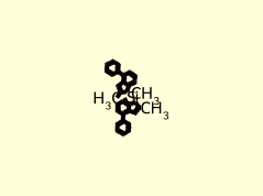 CC1=Cc2c(-c3ccccc3)cccc2C1[Si]1(C)c2ccc(-c3ccccc3)c3c2C1C(C)=C3